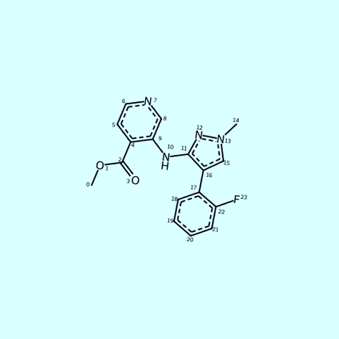 COC(=O)c1ccncc1Nc1nn(C)cc1-c1ccccc1F